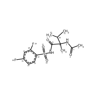 CC(=O)NC(C)(C(=O)NS(=O)(=O)c1ccc(F)cc1F)C(C)C